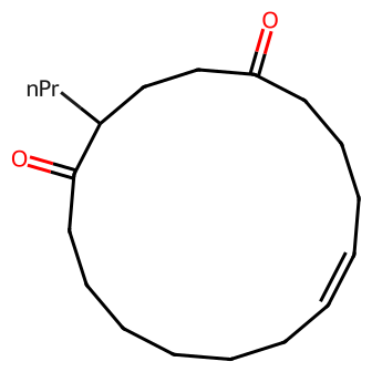 CCCC1CCC(=O)CCCC=CCCCCCCC1=O